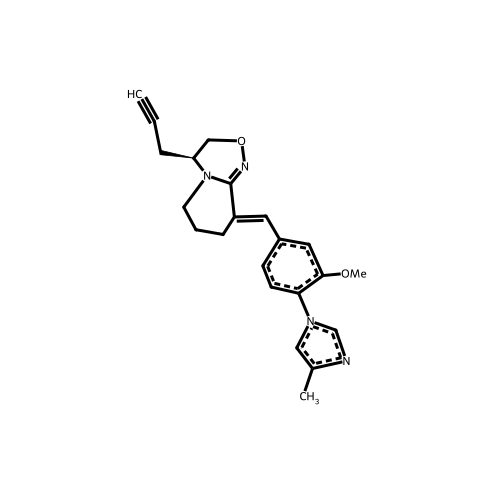 C#CC[C@H]1CON=C2/C(=C/c3ccc(-n4cnc(C)c4)c(OC)c3)CCCN21